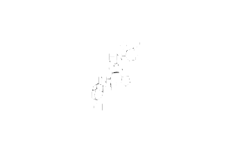 O=C1SCCC(Nc2ncc(C(=O)N[C@H]3C4CC5CC3C[C@@](O)(C5)C4)c(C3CCCC3)n2)C1=O